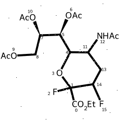 CCOC(=O)C1(F)OC([C@H](OC(C)=O)[C@@H](COC(C)=O)OC(C)=O)C(NC(C)=O)CC1F